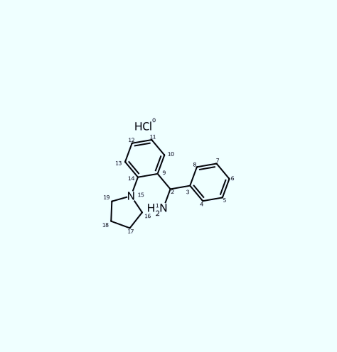 Cl.NC(c1ccccc1)c1ccccc1N1CCCC1